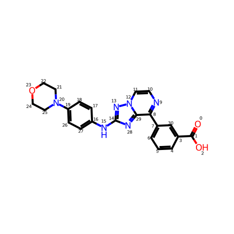 O=C(O)c1cccc(-c2nccn3nc(Nc4ccc(N5CCOCC5)cc4)nc23)c1